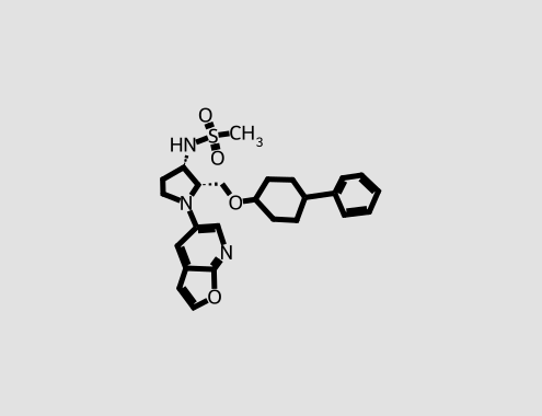 CS(=O)(=O)N[C@H]1CCN(c2cnc3occc3c2)[C@H]1COC1CCC(c2ccccc2)CC1